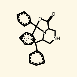 O=C(O)C(c1ccccc1)C1CNCC2C(=O)OC(c3ccccc3)(c3ccccc3)N21